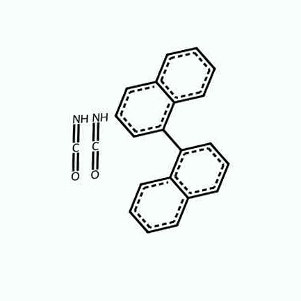 N=C=O.N=C=O.c1ccc2c(-c3cccc4ccccc34)cccc2c1